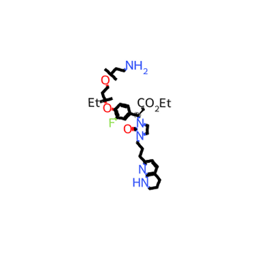 CCOC(=O)C[C@H](c1ccc(OC(C)(CC)CCOC(C)(C)CCN)c(F)c1)N1CCN(CCCc2ccc3c(n2)NCCC3)C1=O